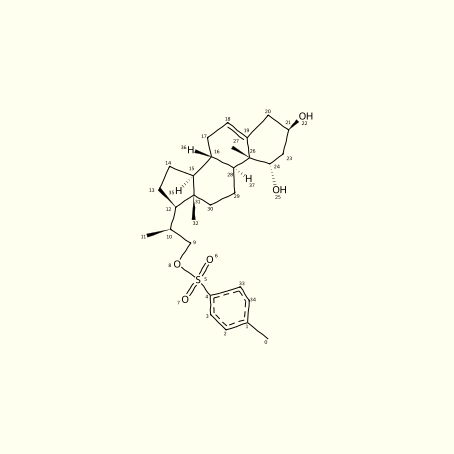 Cc1ccc(S(=O)(=O)OC[C@@H](C)[C@H]2CC[C@H]3[C@@H]4CC=C5C[C@@H](O)C[C@H](O)[C@]5(C)[C@H]4CC[C@]23C)cc1